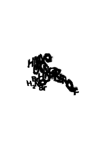 Nc1c(Br)cc(C[C@@H](NC(=O)N2CCC3(CC2)C(=O)NCN3c2ccccc2)C(=O)N2CCN(c3ccc(F)cc3)CC2)cc1Br